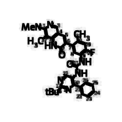 CNc1ncc2cc(-c3cc(NC(=O)Nc4cnc(C(C)(C)C)nc4-c4ccccc4)c(F)cc3C)c(=O)[nH]c2c1C